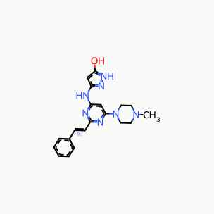 CN1CCN(c2cc(Nc3cc(O)[nH]n3)nc(/C=C/c3ccccc3)n2)CC1